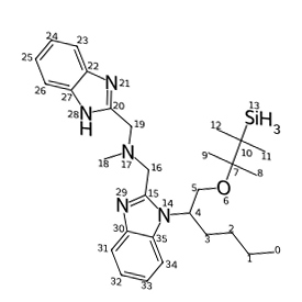 CCCCC(COC(C)(C)C(C)(C)[SiH3])n1c(CN(C)Cc2nc3ccccc3[nH]2)nc2ccccc21